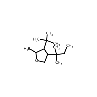 BC1OCC(C(C)(C)CC)C1C(C)(C)C